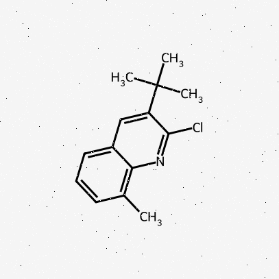 Cc1cccc2cc(C(C)(C)C)c(Cl)nc12